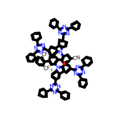 N#Cc1ccc(-c2ccc(-c3c(C(F)(F)F)cccc3C(F)(F)F)cc2-n2c3ccc(-c4nc(-c5ccccc5)nc(-c5ccccc5)n4)cc3c3cc(-c4nc(-c5ccccc5)nc(-c5ccccc5)n4)ccc32)c(-n2c3ccc(-c4nc(-c5ccccc5)nc(-c5ccccc5)n4)cc3c3cc(-c4nc(-c5ccccc5)nc(-c5ccccc5)n4)ccc32)c1